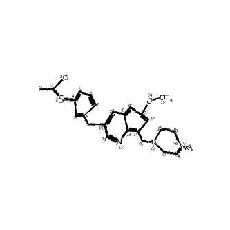 CC(Cl)Sc1cccc(Cc2cnc3c(CN4CCNCC4)cc(OC(F)(F)F)cc3c2)c1